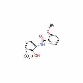 CC(C)Oc1ccccc1C(=O)Nc1cccc(C(=O)O)c1O